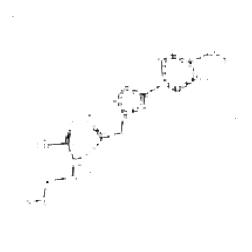 COc1ccc(-c2nc(CC(=O)N[C@@H](CCSC)C(=O)O)cs2)cc1